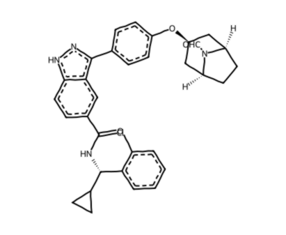 O=CN1[C@@H]2CC[C@H]1C[C@@H](Oc1ccc(-c3n[nH]c4ccc(C(=O)N[C@H](c5ccccc5Cl)C5CC5)cc34)cc1)C2